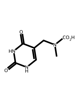 CN(Cc1c[nH]c(=O)[nH]c1=O)C(=O)O